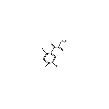 C=C(C(=O)O)C(=O)c1cc(F)c(F)cc1F